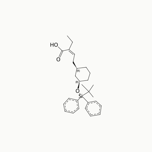 CCC(=CC[C@H]1CCC[C@@H](O[Si](c2ccccc2)(c2ccccc2)C(C)(C)C)C1)C(=O)O